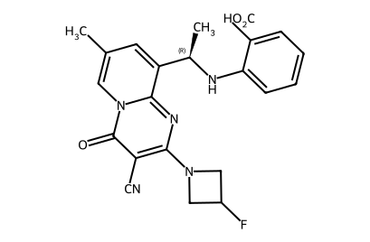 Cc1cc([C@@H](C)Nc2ccccc2C(=O)O)c2nc(N3CC(F)C3)c(C#N)c(=O)n2c1